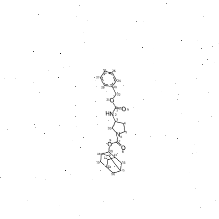 O=C(NC1CCN(C(=O)OC2C3CC4CC(C3)CC2C4)C1)OCc1ccccc1